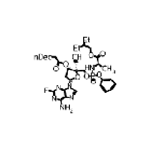 C#C[C@]1(CO[P@@](=O)(NC(C)C(=O)OCC(CC)CC)Oc2ccccc2)O[C@@H](n2cnc3c(N)nc(F)nc32)C[C@@H]1OC(=O)CCCCCCCCCCC